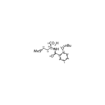 CCCCOc1ccccc1C(=O)N[C@@H](CCSC)C(=O)O